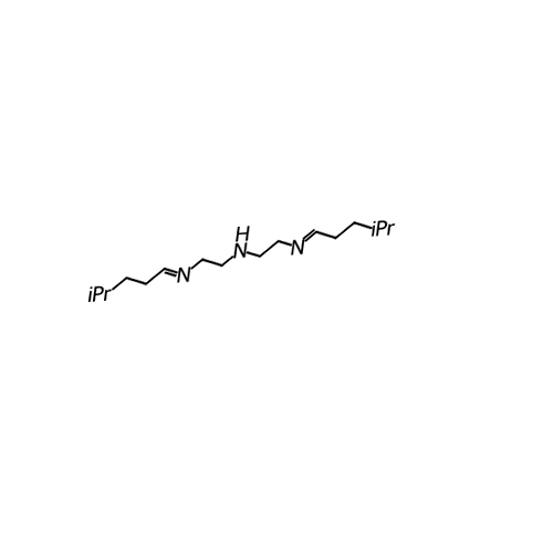 CC(C)CCC=NCCNCCN=CCCC(C)C